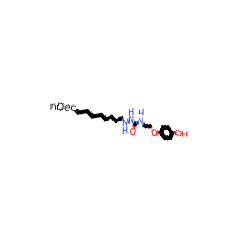 CCCCCCCCCCCCCCCCCCNNC(=O)NCCOc1ccc(O)cc1